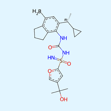 Bc1cc([C@H](C)C2CC2)c(NC(=O)NS(=N)(=O)c2cc(C(C)(C)O)co2)c2c1CCC2